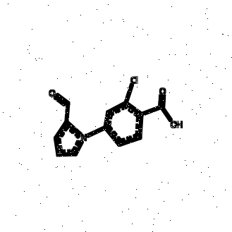 O=Cc1cccn1-c1ccc(C(=O)O)c(Cl)c1